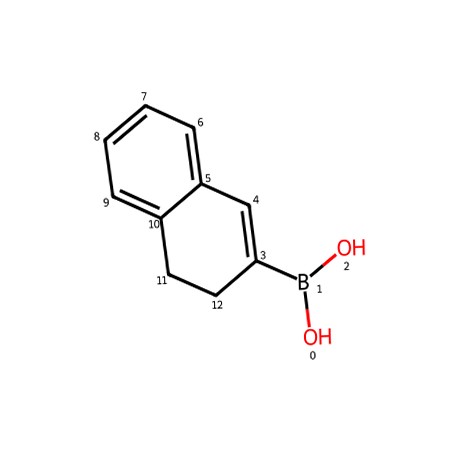 OB(O)C1=Cc2ccccc2CC1